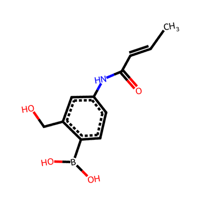 CC=CC(=O)Nc1ccc(B(O)O)c(CO)c1